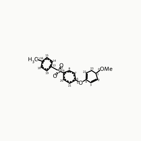 COC1C=CC(Oc2ccc(S(=O)(=O)c3ccc(C)cc3)cc2)=CC1